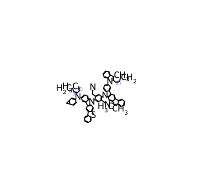 C=C/C=C\c1c(C)c2ccccc2n1-c1ccc2c(c1)c1cc3c(cc1n2-c1cc(CC#N)c(-n2c4ccc(N(C5=CC6CC6C=C5)C(/C=C\C)=C/C=C)cc4c4cc5c(cc42)sc2ccccc25)cc1C#N)C(C)(C)c1ccccc1-3